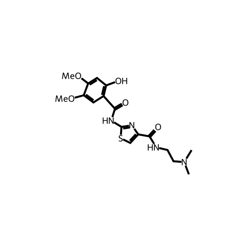 COc1cc(O)c(C(=O)Nc2nc(C(=O)NCCN(C)C)cs2)cc1OC